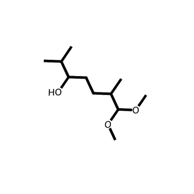 COC(OC)C(C)CCC(O)C(C)C